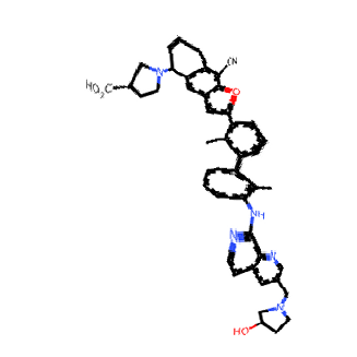 Cc1c(Nc2nccc3cc(CN4CC[C@@H](O)C4)cnc23)cccc1-c1cccc(-c2cc3cc4c(c(C#N)c3o2)CCCC4N2CC[C@@H](C(=O)O)C2)c1C